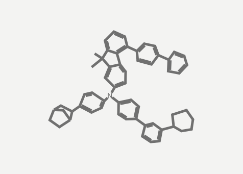 CC1(C)c2cc(N(c3ccc(-c4cccc(C5CCCCC5)c4)cc3)c3ccc(C4CC5CCC4C5)cc3)ccc2-c2c(-c3ccc(-c4ccccc4)cc3)cccc21